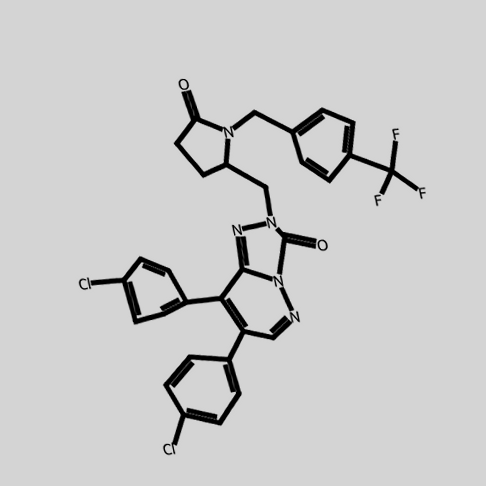 O=C1CCC(Cn2nc3c(-c4ccc(Cl)cc4)c(-c4ccc(Cl)cc4)cnn3c2=O)N1Cc1ccc(C(F)(F)F)cc1